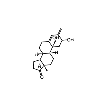 C=C1C=C2CC[C@@H]3[C@@H](CC[C@]4(C)C(=O)CC[C@@H]34)[C@@]2(CO)CC1O